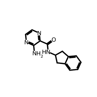 Nc1nccnc1C(=O)NC1Cc2ccccc2C1